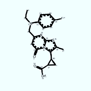 CCN(Cc1cc(=O)n2c(C3CC3C(=O)O)c(C)sc2n1)c1ccc(F)cc1